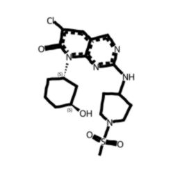 CS(=O)(=O)N1CCC(Nc2ncc3cc(Cl)c(=O)n([C@H]4CCC[C@H](O)C4)c3n2)CC1